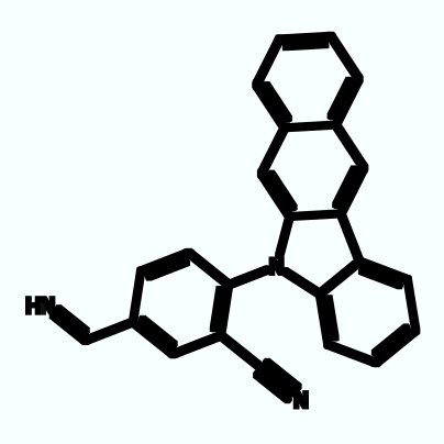 N#Cc1cc(C=N)ccc1-n1c2ccccc2c2cc3ccccc3cc21